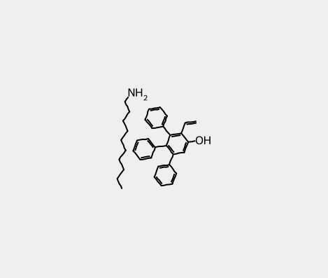 C=Cc1c(O)cc(-c2ccccc2)c(-c2ccccc2)c1-c1ccccc1.CCCCCCCCCCN